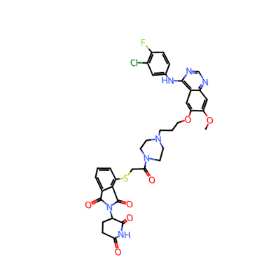 COc1cc2ncnc(Nc3ccc(F)c(Cl)c3)c2cc1OCCCN1CCN(C(=O)CSc2cccc3c2C(=O)N(C2CCC(=O)NC2=O)C3=O)CC1